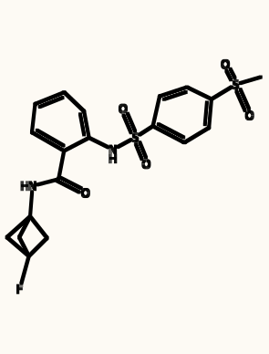 CS(=O)(=O)c1ccc(S(=O)(=O)Nc2ccccc2C(=O)NC23CC(F)(C2)C3)cc1